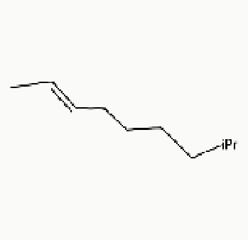 CC=CCCCCC(C)C